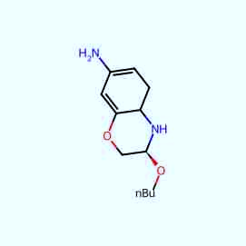 CCCCO[C@H]1COC2=CC(N)=CCC2N1